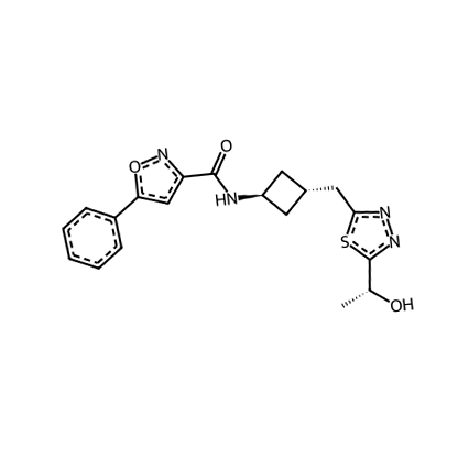 C[C@@H](O)c1nnc(C[C@H]2C[C@H](NC(=O)c3cc(-c4ccccc4)on3)C2)s1